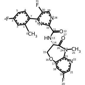 Cc1cc(F)ccc1-c1nc(C(=O)N[C@H]2COc3cc(F)cnc3N(C)C2=O)ncc1F